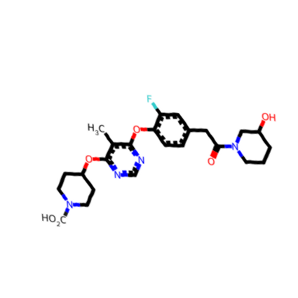 Cc1c(Oc2ccc(CC(=O)N3CCCC(O)C3)cc2F)ncnc1OC1CCN(C(=O)O)CC1